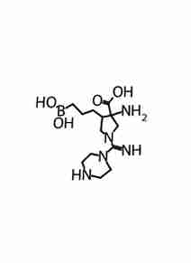 N=C(N1CCNCC1)N1CC(CCCB(O)O)C(N)(C(=O)O)C1